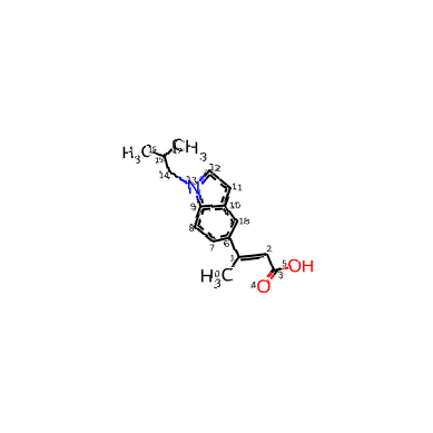 CC(=CC(=O)O)c1ccc2c(ccn2CC(C)C)c1